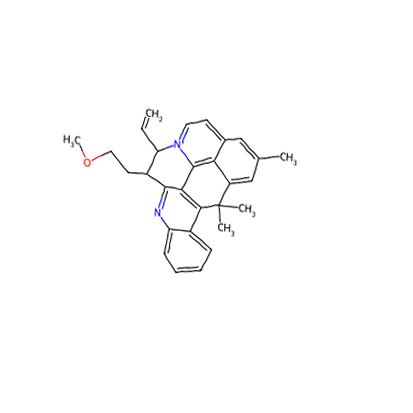 C=CC1C(CCOC)c2nc3ccccc3c3c2-c2c4c(cc(C)cc4cc[n+]21)C3(C)C